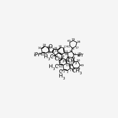 Cc1cc(C)c2c(C)cc3c(c2c1)C1(C)C(c2ccc4c(c2-3)C(C)(C)c2c-4oc3ccc(C(C)C)cc23)C(C2CCCCC2)C(C(C)C)C1C1CCCCC1